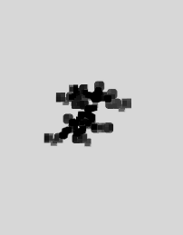 C=CCOC(=O)NCC(CN(C=O)OCC=C)C(=O)C[C@@H]1[C@@H]([C@@H](C)O[Si](C)(C)C(C)(C)C)C(=O)N1C(=O)C(=O)O